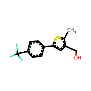 Cc1sc(-c2ccc(C(F)(F)F)cc2)cc1CO